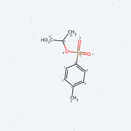 Cc1ccc(S(=O)(=O)OC(C)C(=O)O)cc1